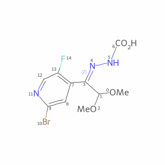 COC(OC)/C(=N\NC(=O)O)c1cc(Br)ncc1F